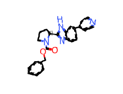 O=C(OCc1ccccc1)N1CCC[C@H]1c1nc2ccc(-c3ccncc3)cc2[nH]1